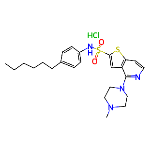 CCCCCCc1ccc(NS(=O)(=O)c2cc3c(N4CCN(C)CC4)nccc3s2)cc1.Cl